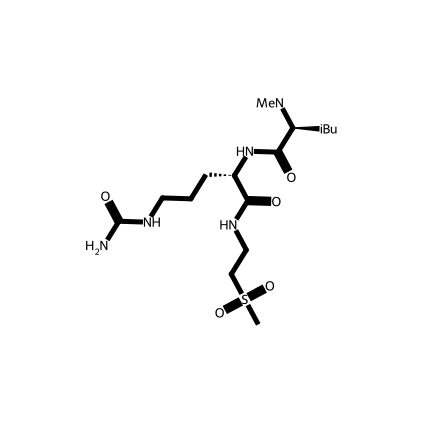 CCC(C)[C@H](NC)C(=O)N[C@@H](CCCNC(N)=O)C(=O)NCCS(C)(=O)=O